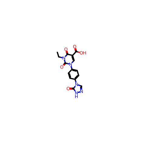 CCn1c(=O)c(C(=O)O)cn(-c2ccc(-n3cn[nH]c3=O)cc2)c1=O